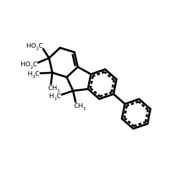 CC1(C)c2cc(-c3ccccc3)ccc2C2=CCC(C(=O)O)(C(=O)O)C(C)(C)C21